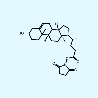 C[C@H](CCC(=O)ON1C(=O)CCC1=O)[C@H]1CC[C@H]2C3CC=C4C[C@@H](O)CCC4(C)[C@H]3CC[C@]12C